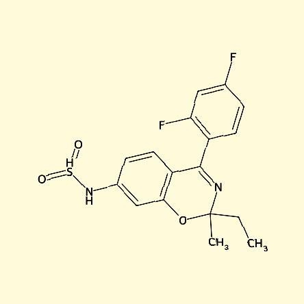 CCC1(C)N=C(c2ccc(F)cc2F)c2ccc(N[SH](=O)=O)cc2O1